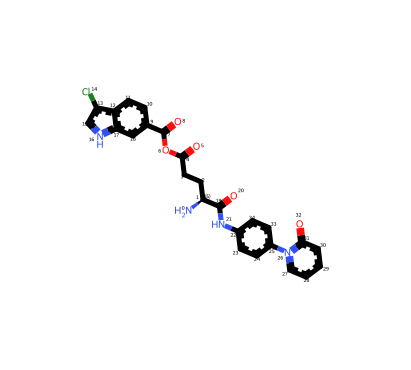 N[C@@H](CCC(=O)OC(=O)c1ccc2c(Cl)c[nH]c2c1)C(=O)Nc1ccc(-n2ccccc2=O)cc1